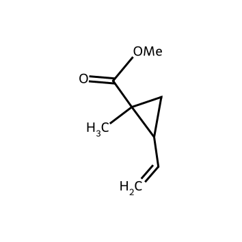 C=CC1CC1(C)C(=O)OC